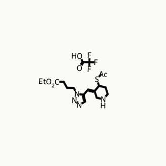 CCOC(=O)CCCn1nncc1/C=C1\CNCCC1SC(C)=O.O=C(O)C(F)(F)F